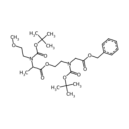 COCCN(C(=O)OC(C)(C)C)C(C)C(=O)OCCN(CC(=O)OCc1ccccc1)C(=O)OC(C)(C)C